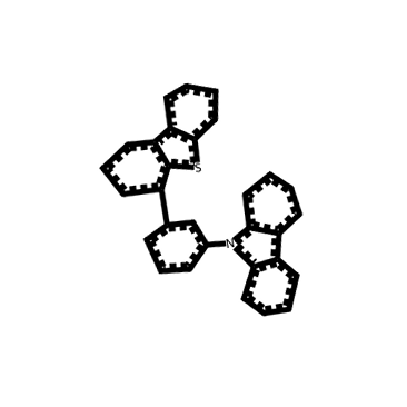 c1cc(-c2cccc3c2sc2ccccc23)cc(-n2c3ccccc3c3ccccc32)c1